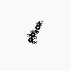 CCS(=O)(=O)N1CCN(C(=O)Nc2cc(Cl)c(-c3cccc(C#N)c3)c(Cl)c2)CC1